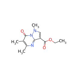 CCOC(=O)c1cn(C)n2c(=O)c(C)c(C)nc12